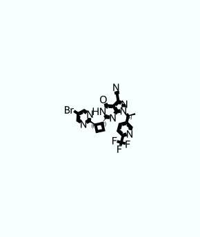 C[C@@H](c1ccc(C(F)(F)F)nc1)n1nc(C#N)c2c(=O)[nH]c([C@@H]3CC[C@H]3c3ncc(Br)cn3)nc21